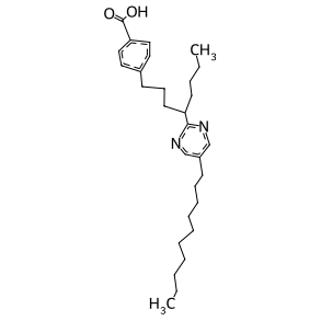 CCCCCCCCCCc1cnc(C(CCCC)CCCc2ccc(C(=O)O)cc2)nc1